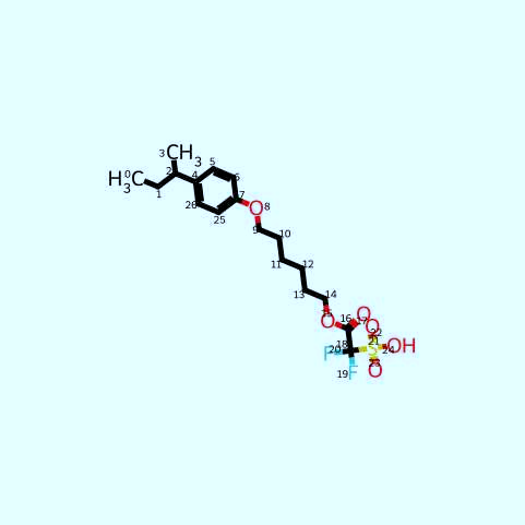 CCC(C)c1ccc(OCCCCCCOC(=O)C(F)(F)S(=O)(=O)O)cc1